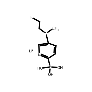 CN(CCF)c1ccc([B-](O)(O)O)nc1.[Li+]